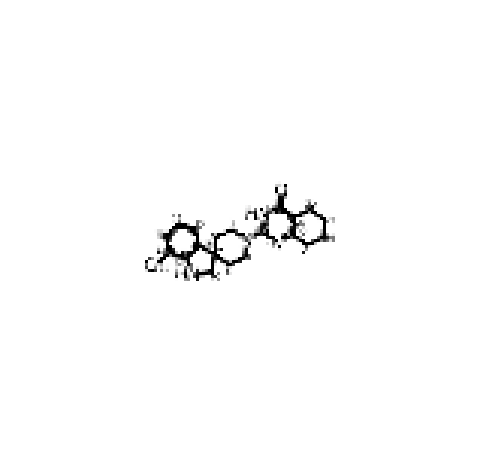 O=c1[nH]c(N2CCC3(CC2)CNc2c(Cl)cccc23)nc2c1CCCC2